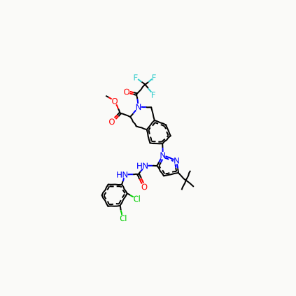 COC(=O)C1Cc2cc(-n3nc(C(C)(C)C)cc3NC(=O)Nc3cccc(Cl)c3Cl)ccc2CN1C(=O)C(F)(F)F